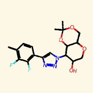 Cc1ccc(-c2cn(C3C(O)COC4COC(C)(C)OC43)nn2)c(F)c1F